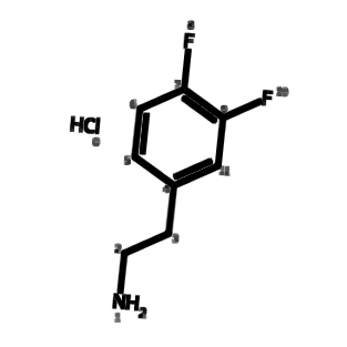 Cl.NCCc1ccc(F)c(F)c1